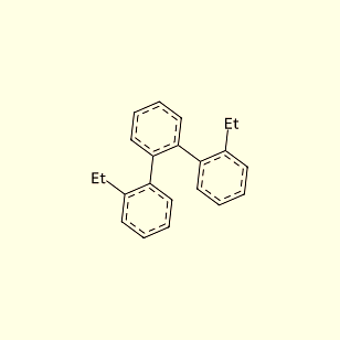 CCc1ccccc1-c1ccccc1-c1ccccc1CC